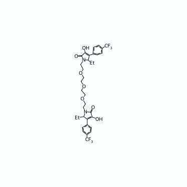 CCC1C(c2ccc(C(F)(F)F)cc2)=C(O)C(=O)N1CCOCCOCCOCCN1C(=O)C(O)=C(c2ccc(C(F)(F)F)cc2)C1CC